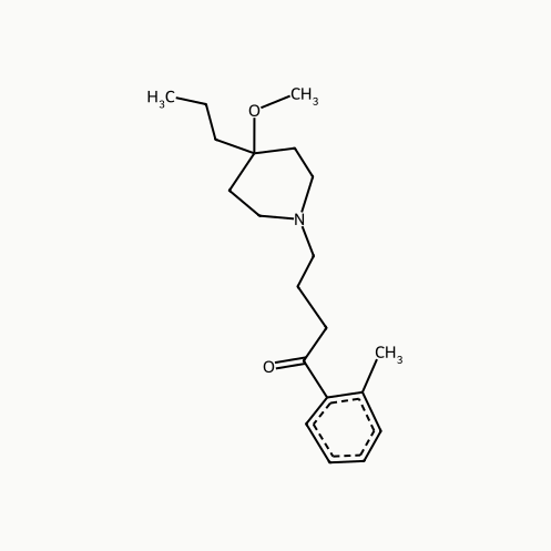 CCCC1(OC)CCN(CCCC(=O)c2ccccc2C)CC1